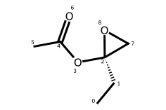 CC[C@@]1(OC(C)=O)CO1